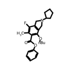 CCCCOc1c2c(c(F)c(C)c1C(=O)Oc1ccccc1)CN(C1CCCC1)C2